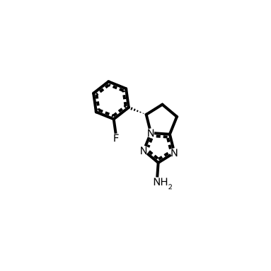 Nc1nc2n(n1)[C@H](c1ccccc1F)CC2